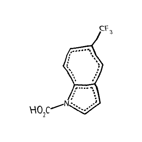 O=C(O)n1ccc2cc(C(F)(F)F)ccc21